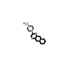 CN1CCN(c2cnc3cc4ccccc4cc3n2)CC1